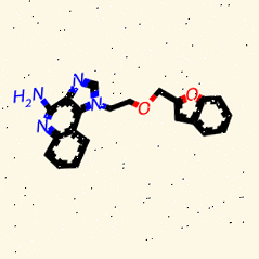 Nc1nc2ccccc2c2c1ncn2CCOCc1cc2ccccc2o1